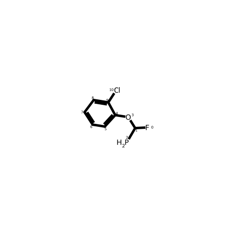 FC(P)Oc1ccccc1Cl